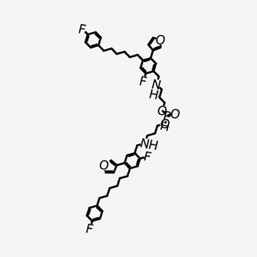 O=[PH](OCCCNCc1cc(-c2ccoc2)c(CCCCCCc2ccc(F)cc2)cc1F)OCCCNCc1cc(-c2ccoc2)c(CCCCCCc2ccc(F)cc2)cc1F